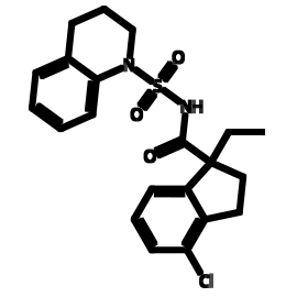 CCC1(C(=O)NS(=O)(=O)N2CCCc3ccccc32)CCc2c(Cl)cccc21